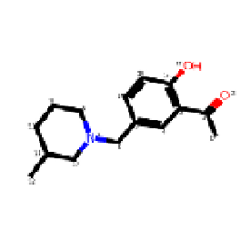 CC(=O)c1cc(CN2CCCC(C)C2)ccc1O